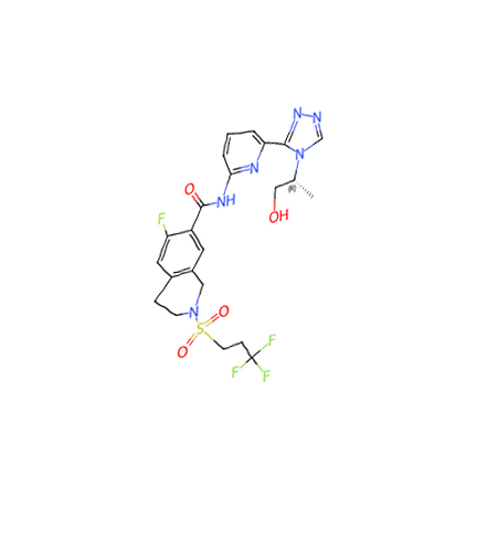 C[C@H](CO)n1cnnc1-c1cccc(NC(=O)c2cc3c(cc2F)CCN(S(=O)(=O)CCC(F)(F)F)C3)n1